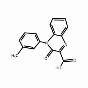 Cc1cccc(-n2c(=O)c(C(=O)O)nc3ccccc32)c1